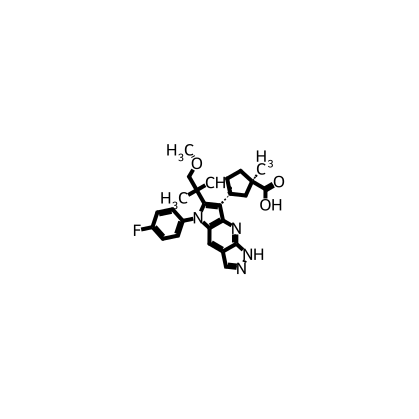 COCC(C)(C)c1c([C@@H]2CC[C@@](C)(C(=O)O)C2)c2nc3[nH]ncc3cc2n1-c1ccc(F)cc1